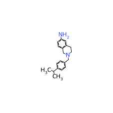 CC(C)c1ccc(CN2CCc3cc(N)ccc3C2)cc1